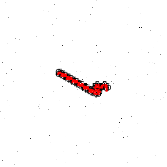 CCOC(=O)C(F)(F)OC(F)(F)OC(F)(F)OC(F)(F)OC(F)(F)OC(F)(F)OC(F)(F)OC(F)(F)OC(F)(F)OC(F)(F)OC(F)(F)OC(F)(F)OC(F)(F)OC(F)(F)C(F)(F)OC(F)(F)C(F)(F)OC(F)(F)C(F)(F)OC(F)(F)C(F)(F)OC(F)(F)C(F)(F)OC(F)(F)C(F)(F)OC(F)(F)C(F)(F)OC(F)(F)C(F)(F)OC(F)(F)C(F)(F)OC(F)(F)C(F)(F)OC(F)(F)C(F)(F)OC(F)(F)C(F)(F)OC(F)(F)C(=O)OCC